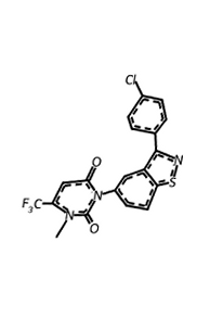 Cn1c(C(F)(F)F)cc(=O)n(-c2ccc3snc(-c4ccc(Cl)cc4)c3c2)c1=O